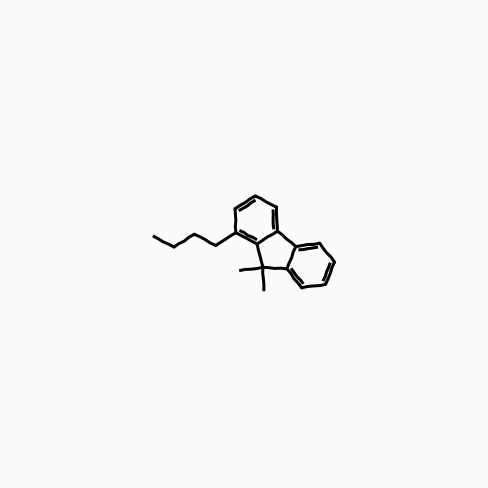 CCCCc1cccc2c1C(C)(C)c1ccccc1-2